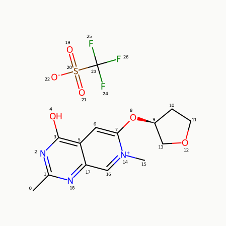 Cc1nc(O)c2cc(O[C@H]3CCOC3)[n+](C)cc2n1.O=S(=O)([O-])C(F)(F)F